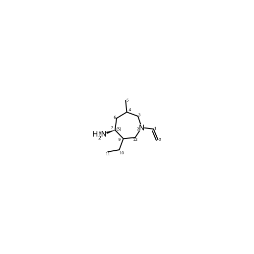 C=CN1CC(C)C[C@H](N)C(CC)C1